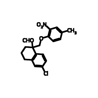 Cc1ccc(OCC2(C=O)CCCc3cc(Cl)ccc32)c([N+](=O)[O-])c1